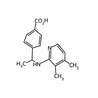 Cc1ccnc(NC(C)c2ccc(C(=O)O)cc2)c1C